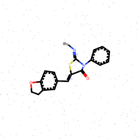 CCC(C)/N=C1\S/C(=C\c2ccc3c(c2)CCO3)C(=O)N1c1ccccc1